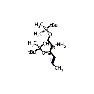 C/C=C/[C@@H](O[Si](C)(C)C(C)(C)C)[C@@H](N)CO[Si](C)(C)C(C)(C)C